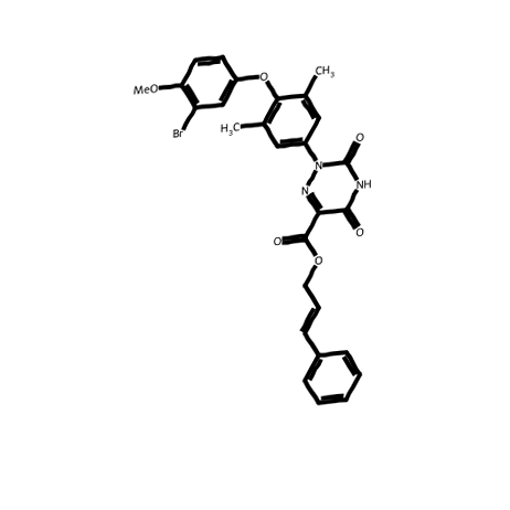 COc1ccc(Oc2c(C)cc(-n3nc(C(=O)OCC=Cc4ccccc4)c(=O)[nH]c3=O)cc2C)cc1Br